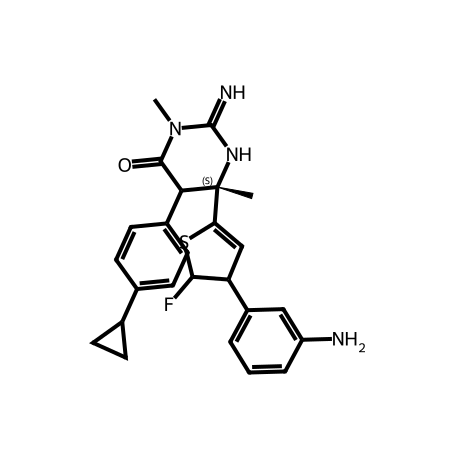 CN1C(=N)N[C@](C)(C2=CC(c3cccc(N)c3)C(F)S2)C(c2ccc(C3CC3)cc2)C1=O